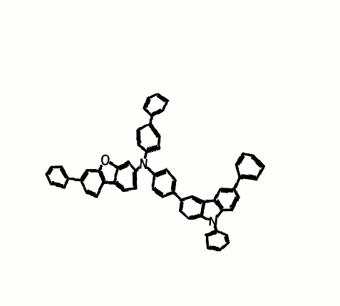 c1ccc(-c2ccc(N(c3ccc(-c4ccc5c(c4)c4cc(-c6ccccc6)ccc4n5-c4ccccc4)cc3)c3ccc4c(c3)oc3cc(-c5ccccc5)ccc34)cc2)cc1